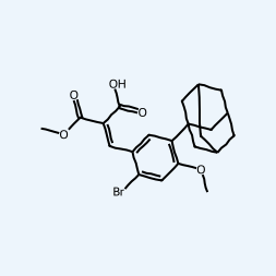 COC(=O)/C(=C/c1cc(C23CC4CC(CC(C4)C2)C3)c(OC)cc1Br)C(=O)O